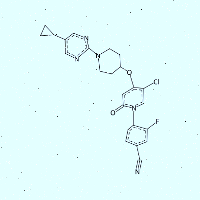 N#Cc1ccc(-n2cc(Cl)c(OC3CCN(c4ncc(C5CC5)cn4)CC3)cc2=O)c(F)c1